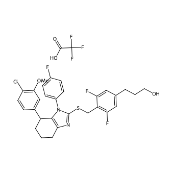 COc1cc(C2CCCc3nc(SCc4c(F)cc(CCCO)cc4F)n(-c4ccc(F)cc4)c32)ccc1Cl.O=C(O)C(F)(F)F